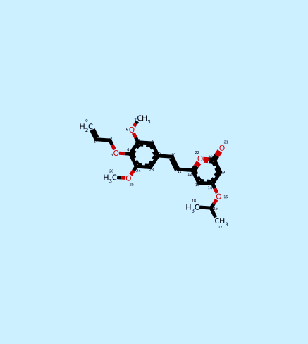 C=CCOc1c(OC)cc(C=Cc2cc(OC(C)C)cc(=O)o2)cc1OC